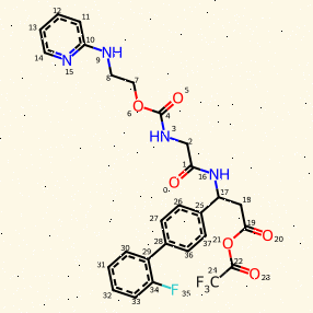 O=C(CNC(=O)OCCNc1ccccn1)NC(CC(=O)OC(=O)C(F)(F)F)c1ccc(-c2ccccc2F)cc1